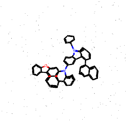 c1ccc(-c2ccccc2N(c2ccc3c(c2)oc2ccccc23)c2ccc3c(c2)c2c(-c4cccc5ccccc45)cccc2n3-c2ccccc2)cc1